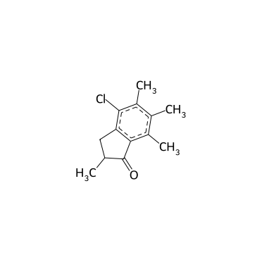 Cc1c(C)c(Cl)c2c(c1C)C(=O)C(C)C2